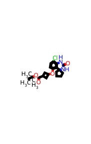 CCC(C)(C)OC(=O)C1CC(Oc2ccc(Cl)c3c2C2(CCCC2)NC(=O)N3)C1